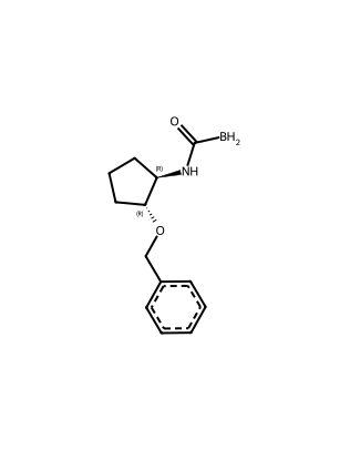 BC(=O)N[C@@H]1CCC[C@H]1OCc1ccccc1